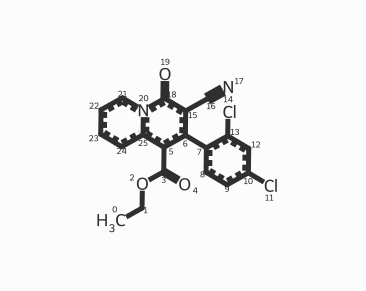 CCOC(=O)c1c(-c2ccc(Cl)cc2Cl)c(C#N)c(=O)n2ccccc12